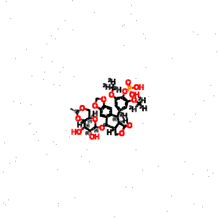 [2H]C([2H])([2H])Oc1cc([C@]2([2H])c3cc4c(cc3[C@@H](O[C@@H]3O[C@@H]5CO[C@@H](C)O[C@H]5[C@H](O)[C@H]3O)[C@H]3COC(=O)[C@@H]32)OCO4)cc(OC([2H])([2H])[2H])c1OP(=O)(O)O